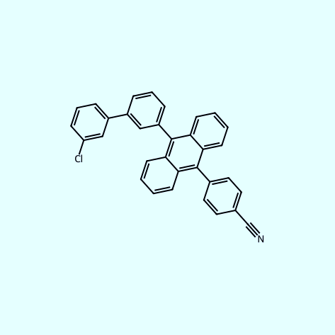 N#Cc1ccc(-c2c3ccccc3c(-c3cccc(-c4cccc(Cl)c4)c3)c3ccccc23)cc1